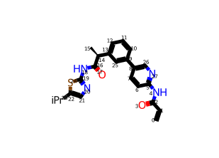 C=CC(=O)Nc1ccc(-c2cccc([C@H](C)C(=O)Nc3ncc(C(C)C)s3)c2)cn1